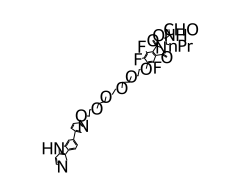 CCCC(C(=O)NC=O)N1C(=O)c2c(F)c(F)c(OCCOCCOCCOCCOCCOc3ccc(-c4ccc5c(c4)[nH]c4ccncc45)cn3)c(F)c2C1=O